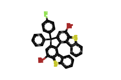 Fc1ccc(C2(c3ccccc3)c3cc(Br)c4sc5ccccc5c4c3-c3c2cc(Br)c2sc4ccccc4c32)cc1